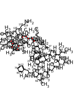 CC[C@H](C)[C@H](NC(=O)[C@H](CCSC)NC(=O)[C@H](C)NC(=O)[C@@H]1CCCN1C(=O)[C@@H](NC(=O)[C@@H](NC(=O)[C@H](CCCCN)NC(=O)[C@@H](NC(=O)[C@H](CC(C)C)NC(=O)CNC(=O)CNC(=O)[C@H](CC(C)C)NC(=O)[C@@H](N)Cc1ccccc1)[C@@H](C)CC)[C@@H](C)CC)C(C)C)C(=O)N[C@@H](CS)C(=O)N[C@@H](C)C(=O)N[C@H](C(=O)N[C@H](C(=O)N[C@@H](CCCCN)C(=O)N[C@@H](CCCCN)C(=O)N[C@@H](CS)C(=O)O)[C@@H](C)O)C(C)C